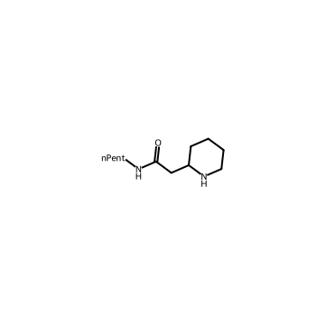 CCCCCNC(=O)CC1CCCCN1